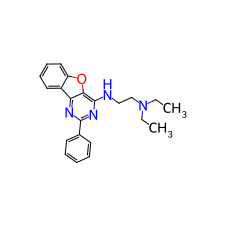 CCN(CC)CCNc1nc(-c2ccccc2)nc2c1oc1ccccc12